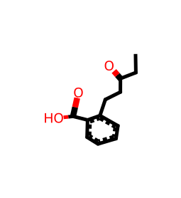 CCC(=O)CCc1ccccc1C(=O)O